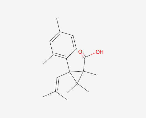 CC(C)=CC1(c2ccc(C)cc2C)C(C)(C)C1(C)C(=O)O